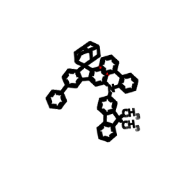 CC1(C)c2ccccc2-c2ccc(N(c3ccc4c(c3)-c3cc(-c5ccccc5)ccc3C43C4CC5CC(C4)CC3C5)c3ccccc3-c3ccccc3)cc21